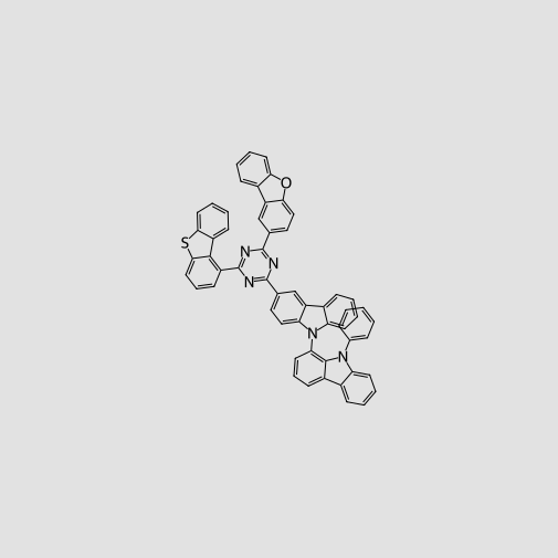 c1ccc(-n2c3ccccc3c3cccc(-n4c5ccccc5c5cc(-c6nc(-c7ccc8oc9ccccc9c8c7)nc(-c7cccc8sc9ccccc9c78)n6)ccc54)c32)cc1